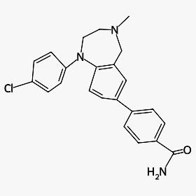 CN1CCN(c2ccc(Cl)cc2)c2ccc(-c3ccc(C(N)=O)cc3)cc2C1